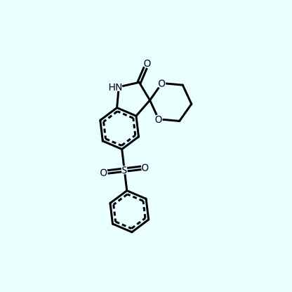 O=C1Nc2ccc(S(=O)(=O)c3ccccc3)cc2C12OCCCO2